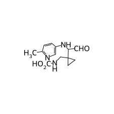 Cc1ccc(NC(C=O)C2(CNC(=O)O)CC2)cn1